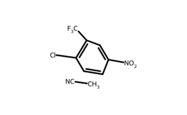 CC#N.O=[N+]([O-])c1ccc(Cl)c(C(F)(F)F)c1